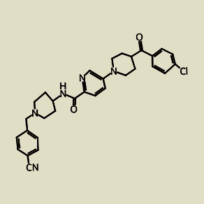 N#Cc1ccc(CN2CCC(NC(=O)c3ccc(N4CCC(C(=O)c5ccc(Cl)cc5)CC4)cn3)CC2)cc1